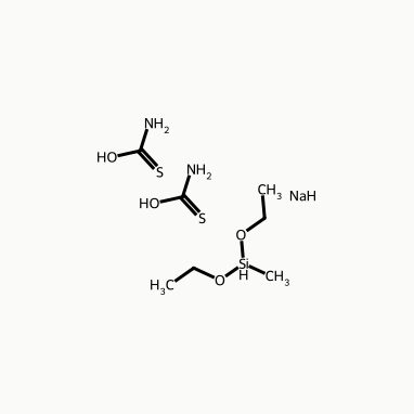 CCO[SiH](C)OCC.NC(O)=S.NC(O)=S.[NaH]